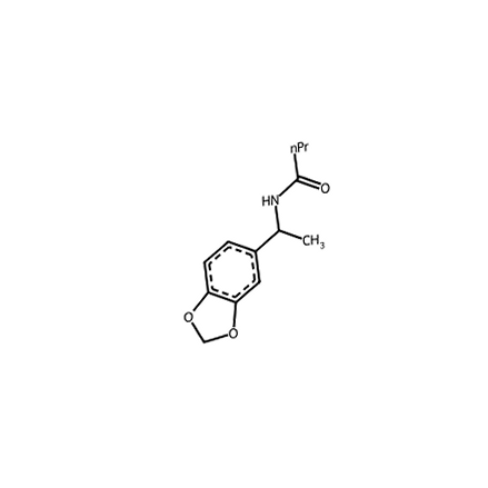 CCCC(=O)NC(C)c1ccc2c(c1)OCO2